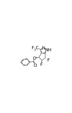 O=C(O[C@H]1c2c(C(F)(F)F)n[nH]c2[C@H](F)[C@H]1F)c1ccccc1